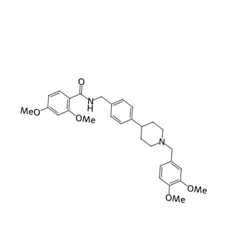 COc1ccc(C(=O)NCc2ccc(C3CCN(Cc4ccc(OC)c(OC)c4)CC3)cc2)c(OC)c1